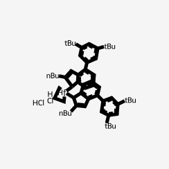 CCCCC1=Cc2c(-c3cc(C(C)(C)C)cc(C(C)(C)C)c3)cccc2[CH]1[Hf]1([CH]2C(CCCC)=Cc3c(-c4cc(C(C)(C)C)cc(C(C)(C)C)c4)cccc32)[CH2]C[CH2]1.Cl.Cl